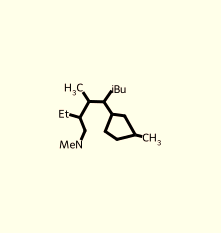 CCC(C)C(C1CCC(C)C1)C(C)C(CC)CNC